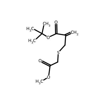 C=C(CSCC(=O)OC)C(=O)OC(C)(C)C